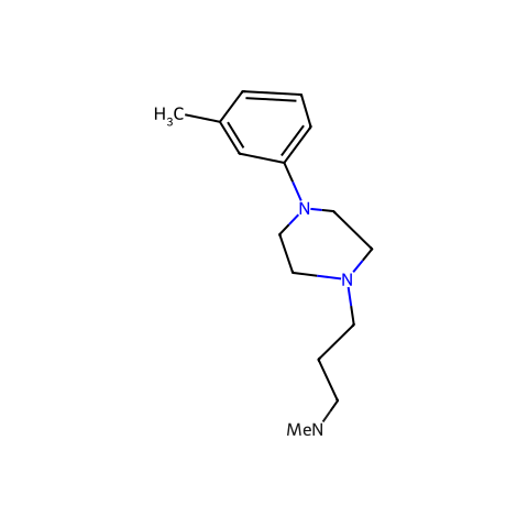 CNCCCN1CCN(c2cccc(C)c2)CC1